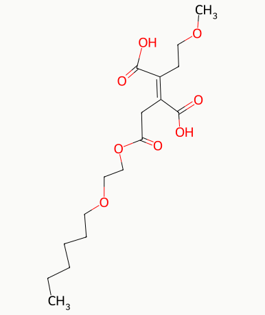 CCCCCCOCCOC(=O)C/C(C(=O)O)=C(/CCOC)C(=O)O